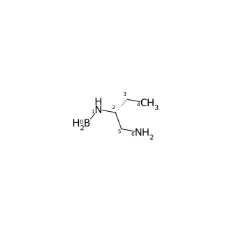 BN[C@H](CC)CN